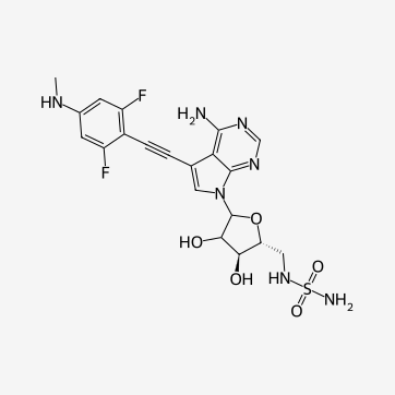 CNc1cc(F)c(C#Cc2cn(C3O[C@H](CNS(N)(=O)=O)[C@@H](O)C3O)c3ncnc(N)c23)c(F)c1